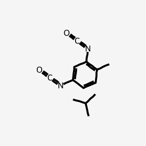 CC(C)C.Cc1ccc(N=C=O)cc1N=C=O